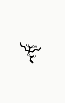 C=CC(=O)OC(CCCC)(CCCC)C(=O)O